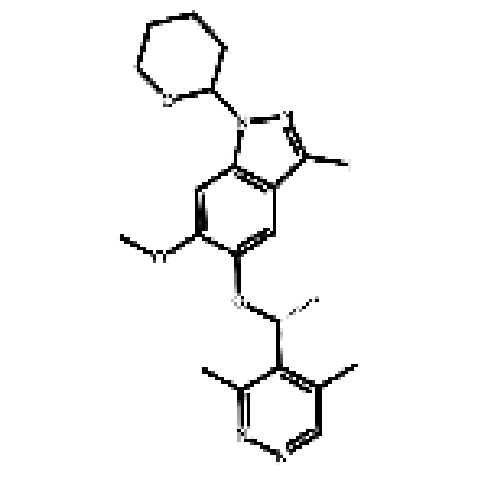 COc1cc2c(cc1O[C@H](C)c1c(C)cnnc1C)c(I)nn2C1CCCCO1